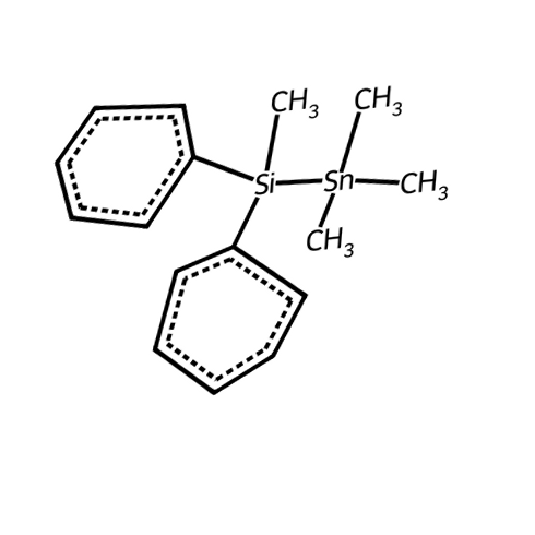 C[Si](c1ccccc1)(c1ccccc1)[Sn]([CH3])([CH3])[CH3]